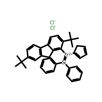 CC(C)(C)c1ccc2c(c1)Cc1c-2ccc(C(C)(C)C)[c]1[Zr+2]([C]1=CC=CC1)=[Si](c1ccccc1)c1ccccc1.[Cl-].[Cl-]